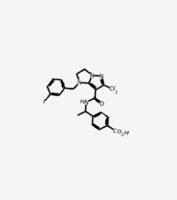 CC(NC(=O)c1c(C(F)(F)F)nn2c1N(Cc1cccc(I)c1)CC2)c1ccc(C(=O)O)cc1